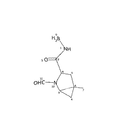 BNC(=O)C1CC2(C)CC2N1C=O